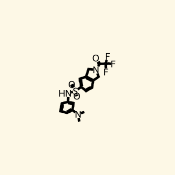 CN(C)c1cccc(NS(=O)(=O)c2ccc3c(c2)CN(C(=O)C(F)(F)F)C3)c1